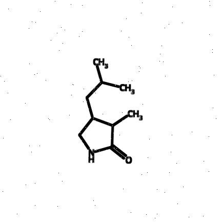 CC(C)CC1CNC(=O)C1C